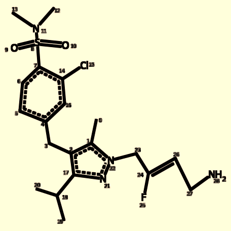 Cc1c(Cc2ccc(S(=O)(=O)N(C)C)c(Cl)c2)c(C(C)C)nn1C/C(F)=C/CN